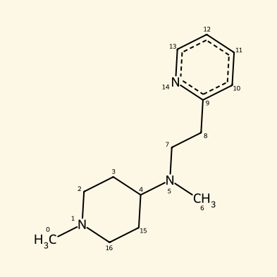 CN1CCC(N(C)CCc2ccccn2)CC1